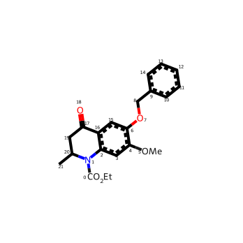 CCOC(=O)N1c2cc(OC)c(OCc3ccccc3)cc2C(=O)CC1C